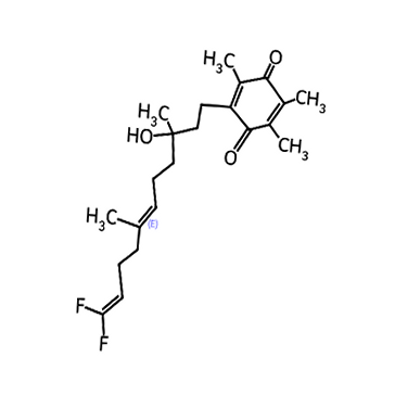 CC1=C(C)C(=O)C(CCC(C)(O)CC/C=C(\C)CCC=C(F)F)=C(C)C1=O